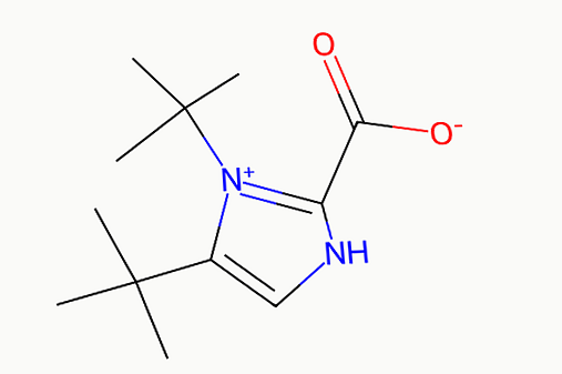 CC(C)(C)c1c[nH]c(C(=O)[O-])[n+]1C(C)(C)C